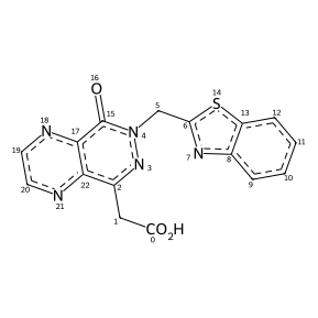 O=C(O)Cc1nn(Cc2nc3ccccc3s2)c(=O)c2nccnc12